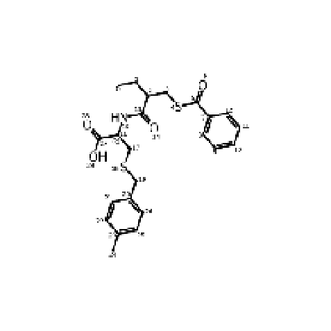 CCC(CSC(=O)c1ccccc1)C(=O)N[C@@H](CSCc1ccc(C)cc1)C(=O)O